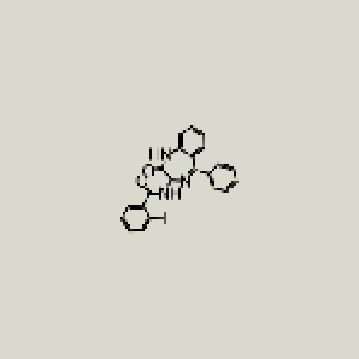 O=C(NC1N=C(c2ccccc2)c2ccccc2NC1=O)c1ccccc1I